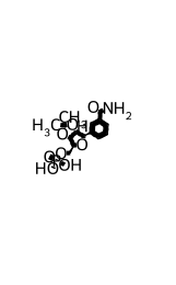 CC1(C)OC2[C@H](COP(=O)(O)O)O[C@H](c3cccc(C(N)=O)c3)[C@@H]2O1